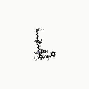 B[C@@H]1O[C@H](COC(=O)OCc2ccccc2)C(OP(O)(=S)OC)[C@@H]1C/C=C/CCCCNC(=O)NCCCCCCCCCCCCCCC